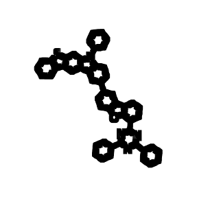 c1ccc(-c2nc(-c3ccccc3)nc(-c3cccc4c3oc3ccc(-c5ccc6c(c5)c5cc7c(cc5n6-c5ccccc5)sc5ccccc57)cc34)n2)cc1